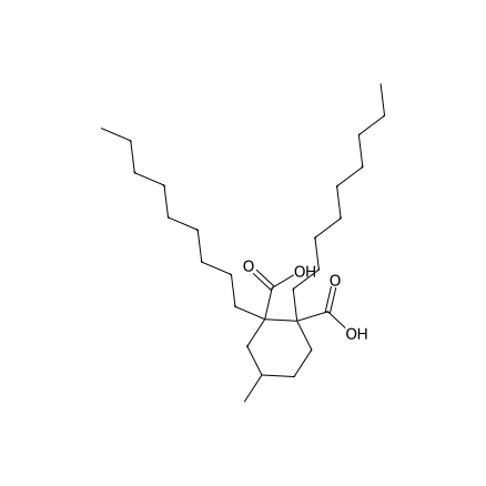 CCCCCCCCCC1(C(=O)O)CCC(C)CC1(CCCCCCCCC)C(=O)O